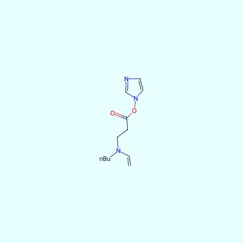 C=CN(CCCC)CCC(=O)On1ccnc1